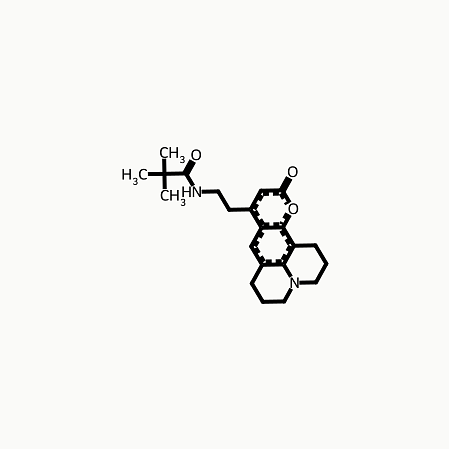 CC(C)(C)C(=O)NCCc1cc(=O)oc2c3c4c(cc12)CCCN4CCC3